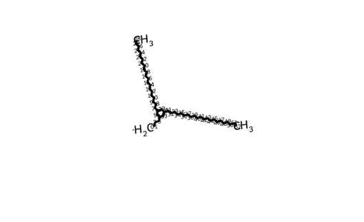 [CH2]CCCc1cc(CCCCCCCCCCCCCCCCCCCCCC)cc(CCCCCCCCCCCCCCCCCCCCCC)c1